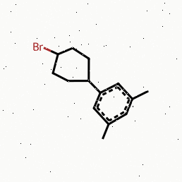 Cc1cc(C)cc(C2CCC(Br)CC2)c1